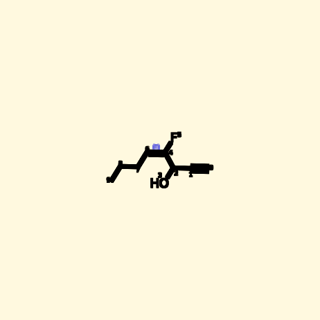 C#CC(O)/C(F)=C\CCC